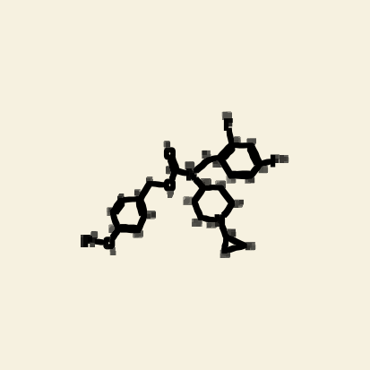 CC(C)Oc1ccc(COC(=O)N(Cc2ccc(F)cc2F)C2CCN(C3CC3)CC2)cc1